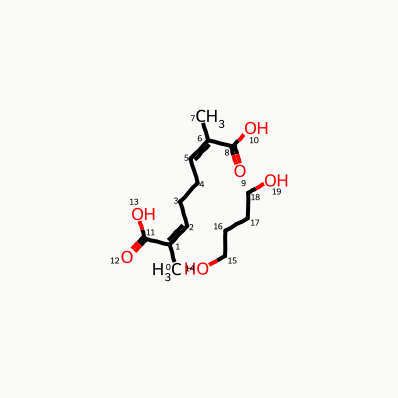 CC(=CCCC=C(C)C(=O)O)C(=O)O.OCCCCO